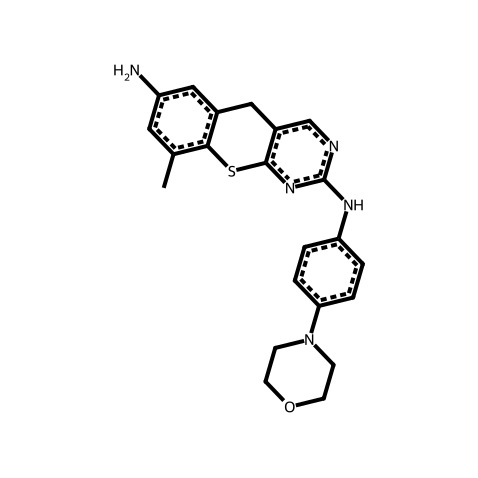 Cc1cc(N)cc2c1Sc1nc(Nc3ccc(N4CCOCC4)cc3)ncc1C2